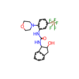 O=C(Nc1cc(S(F)(F)(F)(F)F)ccc1N1CCOCC1)NC1c2ccccc2CC1O